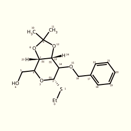 CCS[C@@H]1OC(CO)[C@@H]2OC(C)(C)O[C@@H]2C1OCc1ccccc1